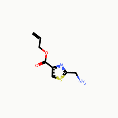 C=CCOC(=O)c1csc(CN)n1